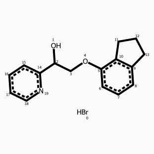 Br.OC(COc1cccc2c1CCC2)c1ccccn1